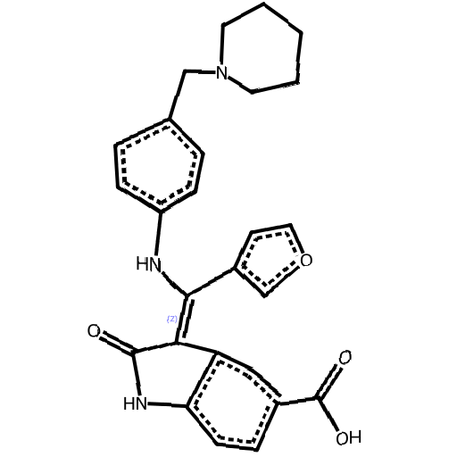 O=C1Nc2ccc(C(=O)O)cc2/C1=C(/Nc1ccc(CN2CCCCC2)cc1)c1ccoc1